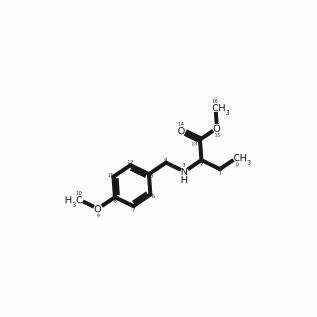 CCC(NCc1ccc(OC)cc1)C(=O)OC